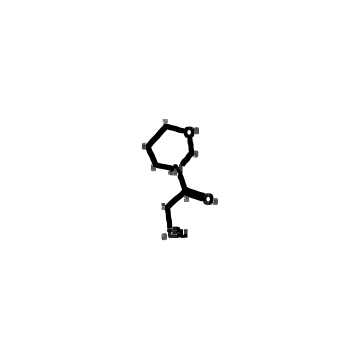 CC(C)(C)CC(=O)N1CCCOC1